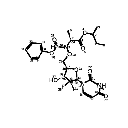 CCC(C)OC(=O)[C@H](C)N(OC[C@H]1O[C@@H](n2ccc(=O)[nH]c2=O)[C@](C)(F)[C@@H]1O)[PH](=O)Oc1ccccc1